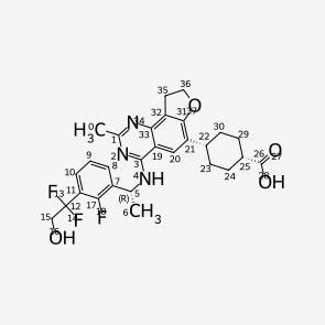 Cc1nc(N[C@H](C)c2cccc(C(F)(F)CO)c2F)c2cc([C@H]3CC[C@@H](C(=O)O)CC3)c3c(c2n1)CCO3